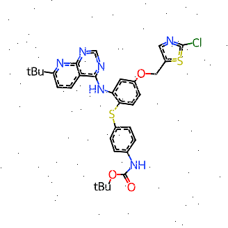 CC(C)(C)OC(=O)Nc1ccc(Sc2ccc(OCc3cnc(Cl)s3)cc2Nc2ncnc3nc(C(C)(C)C)ccc23)cc1